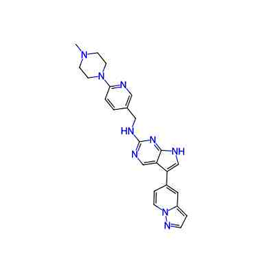 CN1CCN(c2ccc(CNc3ncc4c(-c5ccn6nccc6c5)c[nH]c4n3)cn2)CC1